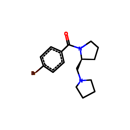 O=C(c1ccc(Br)cc1)N1CCC[C@H]1CN1CCCC1